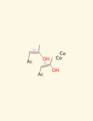 CC(=O)/C=C(/C)O.CC(=O)/C=C(/C)O.[Co].[Cu]